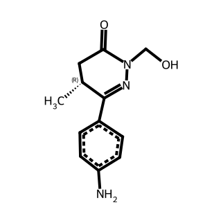 C[C@@H]1CC(=O)N(CO)N=C1c1ccc(N)cc1